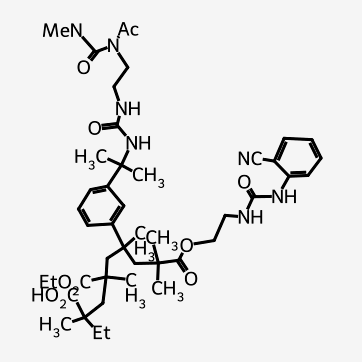 CCOC(=O)C(C)(CC(C)(CC)C(=O)O)CC(C)(CC(C)(C)C(=O)OCCNC(=O)Nc1ccccc1C#N)c1cccc(C(C)(C)NC(=O)NCCN(C(C)=O)C(=O)NC)c1